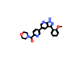 COc1ccccc1-c1n[nH]c2ncc(-c3ccc(C(=O)N4CCOCC4)nc3)cc12